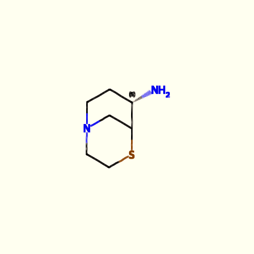 N[C@H]1CCN2CCSC1C2